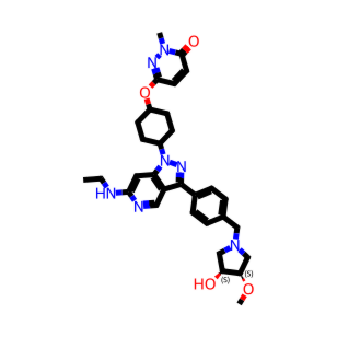 CCNc1cc2c(cn1)c(-c1ccc(CN3C[C@H](OC)[C@@H](O)C3)cc1)nn2C1CCC(Oc2ccc(=O)n(C)n2)CC1